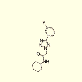 O=C(Cn1nnc(-c2cccc(F)c2)n1)NC1CCCCC1